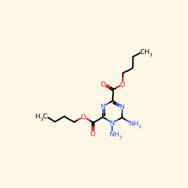 CCCCOC(=O)C1=NC(N)N(N)C(C(=O)OCCCC)=N1